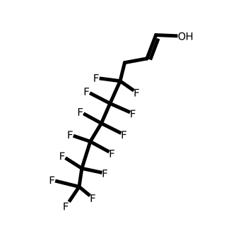 OC=CCC(F)(F)C(F)(F)C(F)(F)C(F)(F)C(F)(F)C(F)(F)F